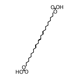 O=C(O)OCCCCCCCCC=CCC=CCC=CCCCCCCCCOC(=O)O